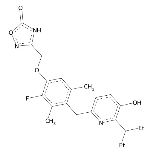 CCC(CC)c1nc(Cc2c(C)cc(OCc3noc(=O)[nH]3)c(F)c2C)ccc1O